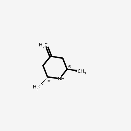 C=C1C[C@@H](C)N[C@H](C)C1